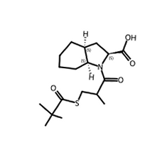 CC(CSC(=O)C(C)(C)C)C(=O)N1[C@H](C(=O)O)C[C@@H]2CCCC[C@@H]21